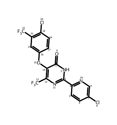 O=c1[nH]c(-c2ccc(Cl)cn2)nc(C(F)(F)F)c1Oc1ccc(Cl)c(C(F)(F)F)c1